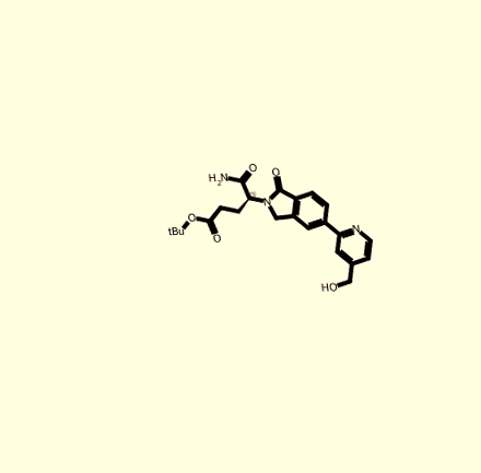 CC(C)(C)OC(=O)CC[C@@H](C(N)=O)N1Cc2cc(-c3cc(CO)ccn3)ccc2C1=O